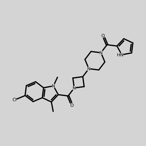 Cc1c(C(=O)N2CC(N3CCN(C(=O)c4ccc[nH]4)CC3)C2)n(C)c2ccc(Cl)cc12